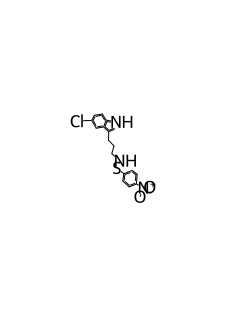 O=[N+]([O-])c1ccc(SNCCCc2c[nH]c3ccc(Cl)cc23)cc1